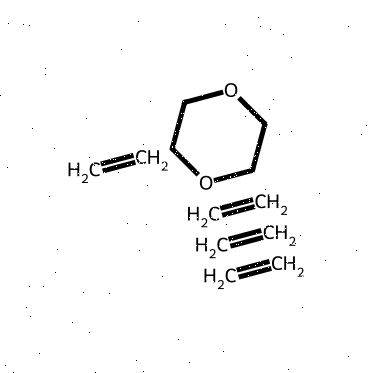 C1COCCO1.C=C.C=C.C=C.C=C